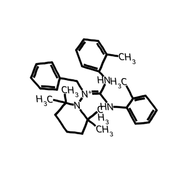 Cc1ccccc1NC(Nc1ccccc1C)=[N+](Cc1ccccc1)N1C(C)(C)CCCC1(C)C